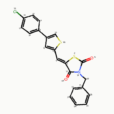 O=C1S/C(=C\c2cc(-c3ccc(Cl)cc3)cs2)C(=O)N1Cc1ccccc1